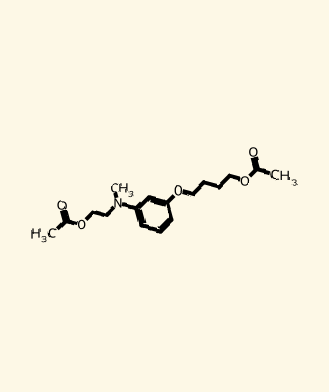 CC(=O)OCCCCOc1cccc(N(C)CCOC(C)=O)c1